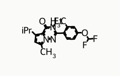 CCn1c(-c2ccc(OC(F)F)cc2C)nn2c(C)cc(C(C)C)c2c1=O